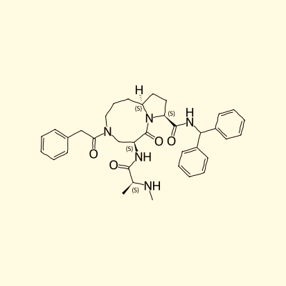 CN[C@@H](C)C(=O)N[C@H]1CN(C(=O)Cc2ccccc2)CCC[C@H]2CC[C@@H](C(=O)NC(c3ccccc3)c3ccccc3)N2C1=O